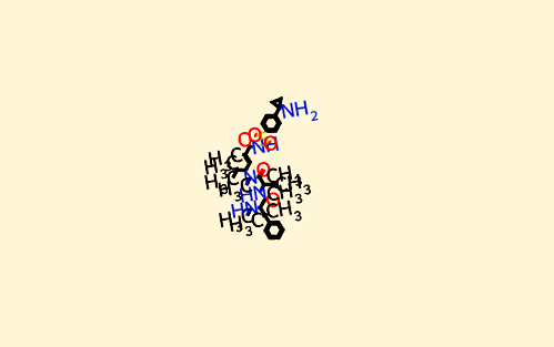 CNC(C(=O)NC(C(=O)N(C)C(C=C(C)C(=O)NS(=O)(=O)c1ccc(C2(N)CC2)cc1)C(C)C)C(C)(C)C)C(C)(C)c1ccccc1